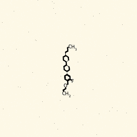 C=CCOCc1ccc([C@H]2CC[C@H]([C@H]3CC[C@H](CCCC)CC3)CC2)cc1F